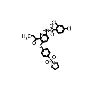 CCC(=O)c1nc(NS(=O)(=O)c2ccc(Cl)cc2Cl)ccc1Sc1ccc(S(=O)(=O)N2CCCC2)cc1